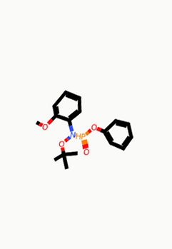 COc1ccccc1N(OC(C)(C)C)[PH](=O)Oc1ccccc1